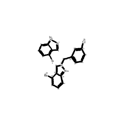 Brc1cccc2[nH]ncc12.Clc1cccc(Cn2cc3c(Br)cccc3n2)c1